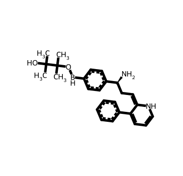 CC(C)(O)C(C)(C)OBc1ccc([C@@H](N)C/C=C2/NC=CC=C2c2ccccc2)cc1